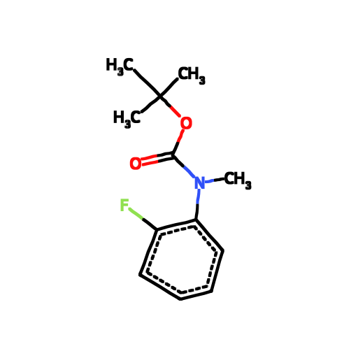 CN(C(=O)OC(C)(C)C)c1ccccc1F